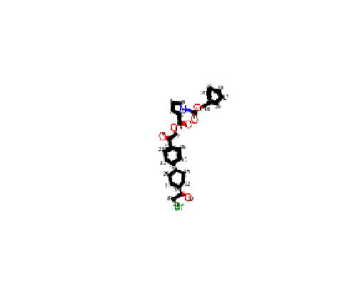 O=C(COC(=O)C1CCCN1C(=O)OCc1ccccc1)c1ccc([C@H]2CC[C@H](C(=O)CBr)CC2)cc1